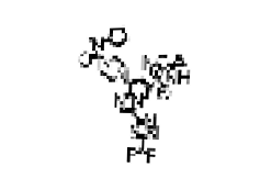 CN(C(=O)N1CCN(c2cc(S(=O)(=O)NC3(C#N)CC3)cn3c(-c4nnc(C(F)F)s4)cnc23)CC1)C1CCCC1